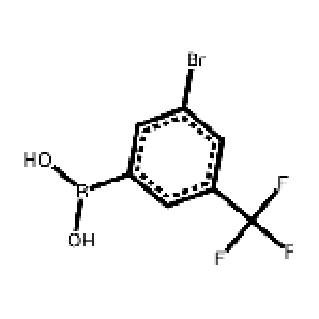 OB(O)c1cc(Br)cc(C(F)(F)F)c1